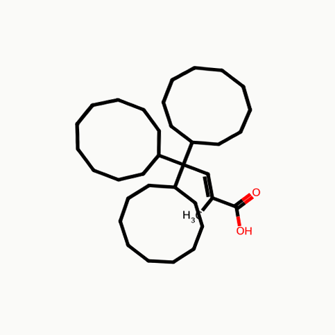 CC(=CC(C1CCCCCCCCC1)(C1CCCCCCCCC1)C1CCCCCCCCC1)C(=O)O